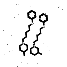 CC1CCCN(CCCCCOc2ccccc2)C1.CC1CCN(CCCCCOc2ccccc2)CC1